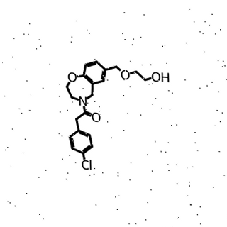 O=C(Cc1ccc(Cl)cc1)N1CCOc2ccc(COCCO)cc2C1